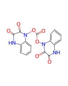 O=C(On1c(=O)c(=O)[nH]c2ccccc21)On1c(=O)c(=O)[nH]c2ccccc21